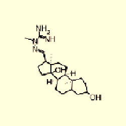 CN(/N=C/C1CC[C@@]2(O)[C@@H]3CCC4CC(O)CC[C@]4(C)[C@@H]3CC[C@]12C)C(=N)N